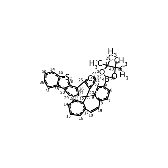 CC1(C)OB(c2ccc3c(c2)C2(c4ccccc4C=C3)c3ccccc3-c3c2ccc2c3sc3ccccc32)OC1(C)C